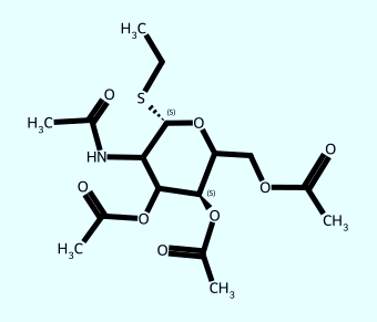 CCS[C@@H]1OC(COC(C)=O)[C@@H](OC(C)=O)C(OC(C)=O)C1NC(C)=O